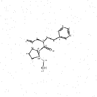 C=CC[C@@H](CCc1ccccc1)C(=O)N1CCC[C@H]1CO